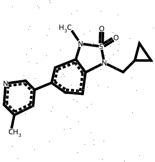 Cc1cncc(-c2ccc3c(c2)N(C)S(=O)(=O)N3CC2CC2)c1